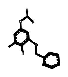 Cc1cc(OC(F)F)cc(OCc2ccccc2)c1I